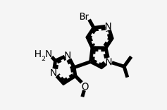 COc1cnc(N)nc1-c1cn(C(C)C)c2cnc(Br)cc12